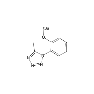 Cc1nnnn1-c1ccccc1OC(C)(C)C